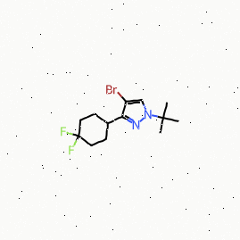 CC(C)(C)n1cc(Br)c(C2CCC(F)(F)CC2)n1